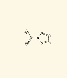 N=C(N)N1C=N[N+]=N1